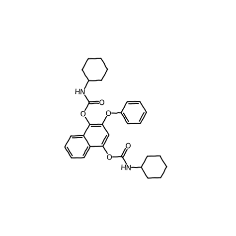 O=C(NC1CCCCC1)Oc1cc(Oc2ccccc2)c(OC(=O)NC2CCCCC2)c2ccccc12